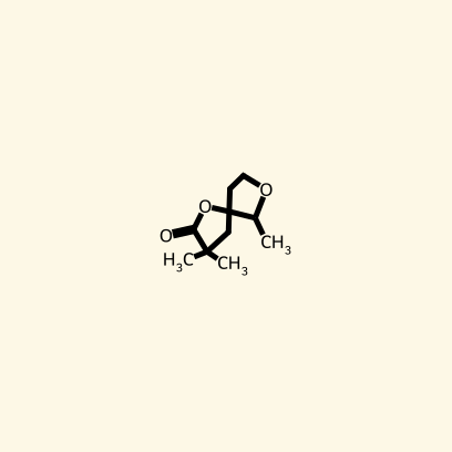 CC1OCCC12CC(C)(C)C(=O)O2